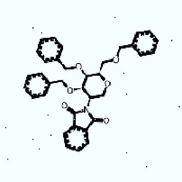 O=C1c2ccccc2C(=O)N1[C@@H]1CO[C@H](COCc2ccccc2)[C@H](OCc2ccccc2)[C@@H]1OCc1ccccc1